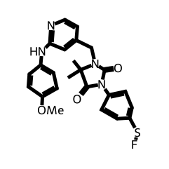 COc1ccc(Nc2cc(CN3C(=O)N(c4ccc(SF)cc4)C(=O)C3(C)C)ccn2)cc1